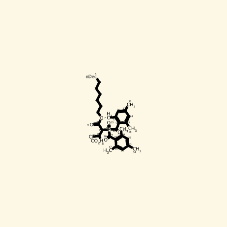 CCCCCCCCCCCCCCCCOC(=O)C(C(Cl)C(=O)O)P(=O)(C(=O)c1c(C)cc(C)cc1C)C(=O)c1c(C)cc(C)cc1C